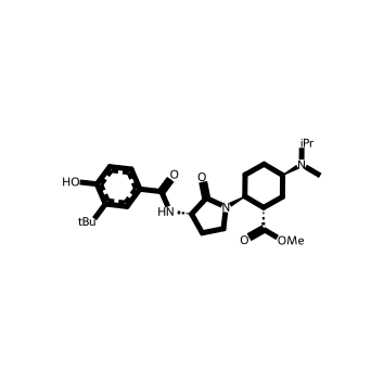 COC(=O)[C@H]1C[C@H](N(C)C(C)C)CC[C@@H]1N1CC[C@H](NC(=O)c2ccc(O)c(C(C)(C)C)c2)C1=O